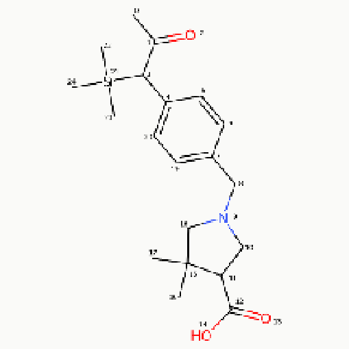 CC(=O)C(c1ccc(CN2CC(C(=O)O)C(C)(C)C2)cc1)[Si](C)(C)C